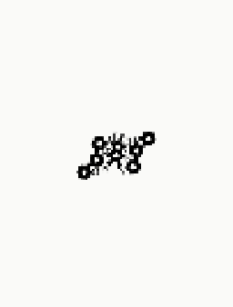 CC1(C)c2c(-n3c4ccccc4c4cc5c(cc43)oc3ccccc35)c(C#N)c(C#N)c(-n3c4ccccc4c4cc5c(cc43)oc3ccccc35)c2C(C)(C)C1(F)F